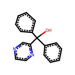 OC(c1ccccc1)(c1ccccc1)c1cnccn1